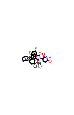 CC1(C)CCC(CN2C3CCC2CN(c2cc4c(cc2F)C(=O)N(C2CCC(=O)NC2=O)C4=O)C3)=C(c2ccc(F)cc2)C1